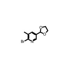 Cc1cc(C2OCCO2)cnc1Br